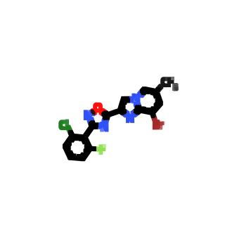 Fc1cccc(Cl)c1-c1noc(-c2cn3cc(C(F)(F)F)cc(Br)c3n2)n1